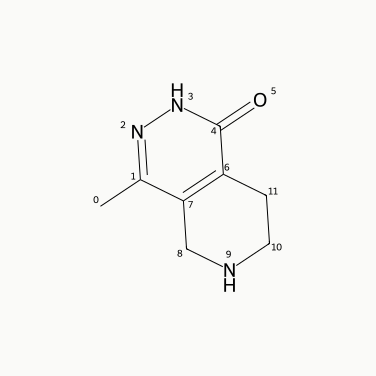 Cc1n[nH]c(=O)c2c1CNCC2